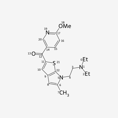 CCN(CC)CCn1c(C)cc2cc(C(=O)c3ccc(OC)nc3)sc21